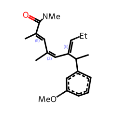 CC/C=C(/C=C(C)\C=C(/C)C(=O)NC)C(C)c1cccc(OC)c1